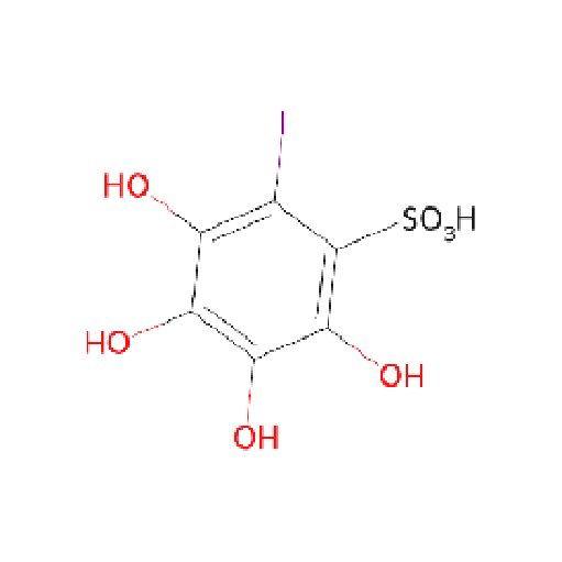 O=S(=O)(O)c1c(O)c(O)c(O)c(O)c1I